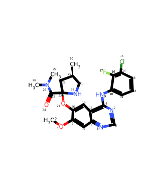 COc1cc2ncnc(Nc3cccc(Cl)c3F)c2cc1O[C@@]1(C(=O)N(C)C)C[C@@H](C)CN1